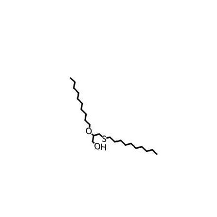 CCCCCCCCCCOC(CO)CSCCCCCCCCCC